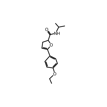 CCOc1ccc(C2=CCC(C(=O)NC(C)C)O2)cc1